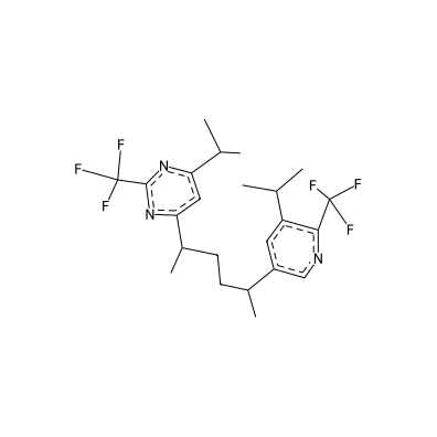 CC(C)c1cc(C(C)CCC(C)c2cnc(C(F)(F)F)c(C(C)C)c2)nc(C(F)(F)F)n1